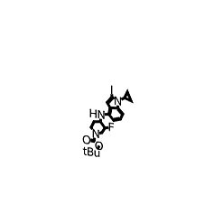 CC(C)(C)OC(=O)N1CCC(Nc2cccc3c2cc(I)n3C2CC2)C(F)C1